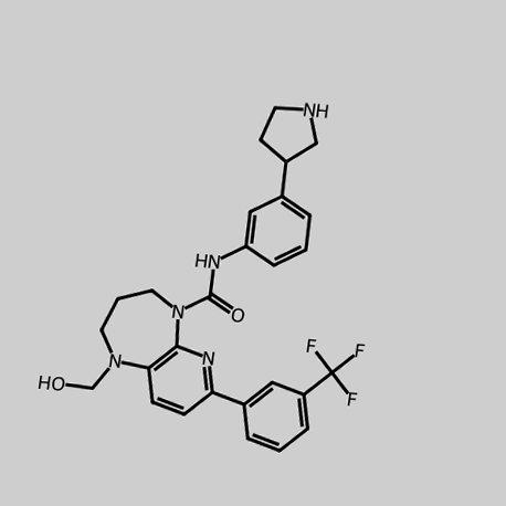 O=C(Nc1cccc(C2CCNC2)c1)N1CCCN(CO)c2ccc(-c3cccc(C(F)(F)F)c3)nc21